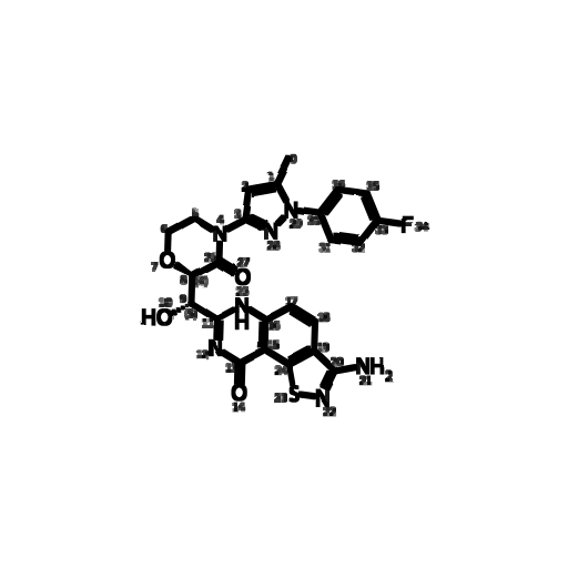 Cc1cc(N2CCO[C@H]([C@@H](O)c3nc(=O)c4c(ccc5c(N)nsc54)[nH]3)C2=O)nn1-c1ccc(F)cc1